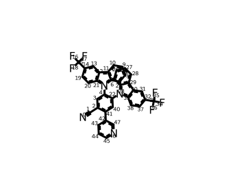 N#Cc1cc(-n2c3ccccc3c3cc(C(F)(F)F)ccc32)c(-n2c3ccccc3c3cc(C(F)(F)F)ccc32)cc1-c1cccnc1